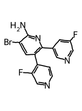 Nc1nc(-c2cncc(F)c2)c(-c2ccncc2F)cc1Br